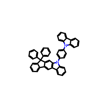 c1ccc(C2(c3ccccc3)c3ccccc3-c3cc4c5ccccc5n(-c5ccc(-n6c7ccccc7c7ccccc76)cc5)c4cc32)cc1